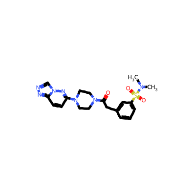 CN(C)S(=O)(=O)c1cccc(CC(=O)N2CCN(c3ccc4nncn4n3)CC2)c1